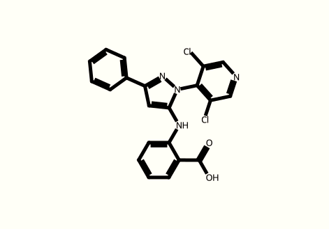 O=C(O)c1ccccc1Nc1cc(-c2ccccc2)nn1-c1c(Cl)cncc1Cl